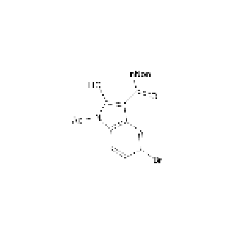 CCCCCCCCCC(=O)c1c(O)n(C(C)=O)c2ccc(Br)cc12